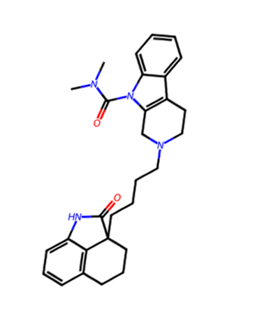 CN(C)C(=O)n1c2c(c3ccccc31)CCN(CCCCC13CCCc4cccc(c41)NC3=O)C2